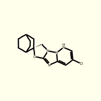 ClC1=CNN2C(=C1)N=C1O[C@@]3(CC4CCC3CC4)CN12